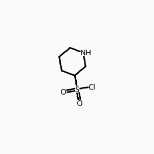 O=S(=O)(Cl)C1CCCNC1